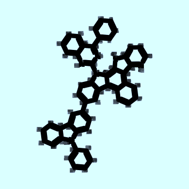 c1ccc(-c2nc(-n3c4ccc(-c5ccc6c(c5)c5ccccc5n6-c5ccccc5)cc4c4c5ccccc5c5c6ncccc6sc5c43)nc3ccccc23)cc1